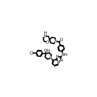 O=C(c1ccc(Nc2nc3c(N4CCC(O)(c5ccc(Cl)cc5)CC4)cccn3n2)cc1)N1CCC2(CC1)CNCCO2